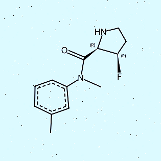 Cc1cccc(N(C)C(=O)[C@H]2NCC[C@H]2F)c1